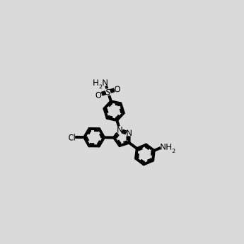 Nc1cccc(-c2cc(-c3ccc(Cl)cc3)n(-c3ccc(S(N)(=O)=O)cc3)n2)c1